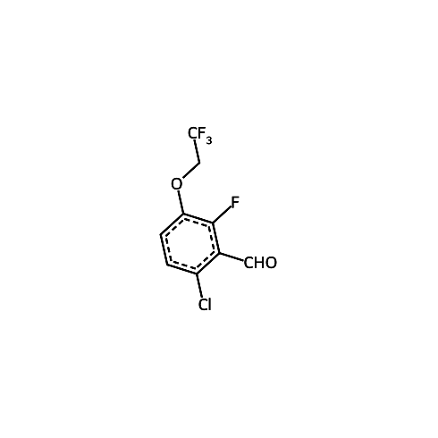 O=Cc1c(Cl)ccc(OCC(F)(F)F)c1F